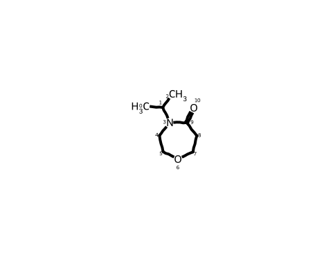 CC(C)N1CCOCCC1=O